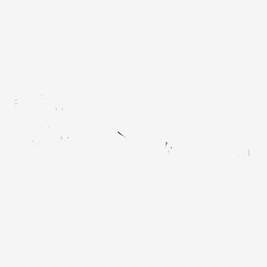 CCCCN1CCC[C@@H](c2cccc(OS(=O)(=O)C(F)(F)F)c2)C1